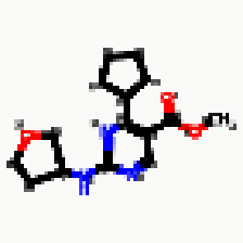 COC(=O)c1cnc(NC2CCOC2)nc1C1CCCC1